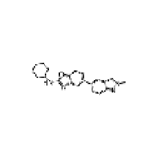 Cn1cc2cc(-c3ccc4oc(NC5CCCCC5)nc4c3)ccc2n1